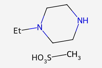 CCN1CCNCC1.CS(=O)(=O)O